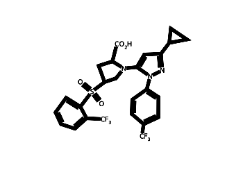 O=C(O)C1CC(S(=O)(=O)c2ccccc2C(F)(F)F)CN1c1cc(C2CC2)nn1-c1ccc(C(F)(F)F)cc1